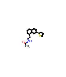 CC(=O)NCCc1cccc2ccc(-c3cccs3)cc12